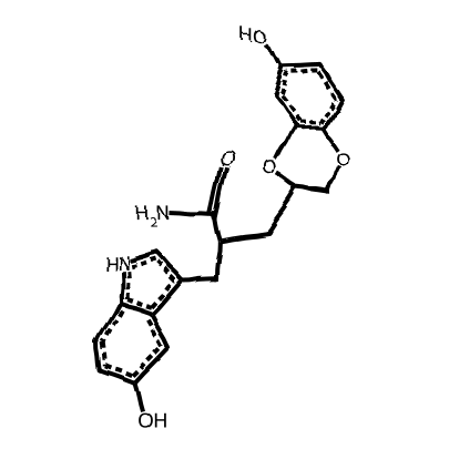 NC(=O)C(Cc1c[nH]c2ccc(O)cc12)CC1COc2ccc(O)cc2O1